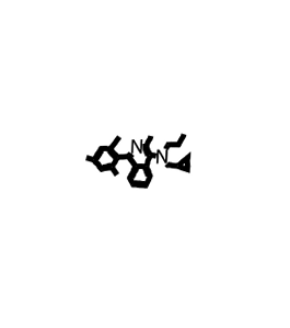 CCCN(CC1CC1)c1c(C)nc(-c2c(C)cc(C)cc2C)c2ccccc12